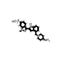 Cn1nc(-c2cc3c(CN4CCC(N)CC4)cccc3[nH]2)c2ccc(C(=O)O)cc21